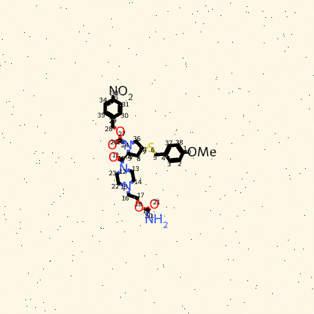 COc1ccc(CS[C@H]2C[C@@H](C(=O)N3CCN(CCOC(N)=O)CC3)N(C(=O)OCc3ccc([N+](=O)[O-])cc3)C2)cc1